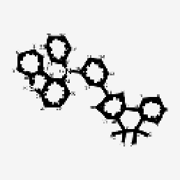 CC1(C)c2ccccc2-c2cc(-c3cccc(N(c4ccccc4)c4cccc5sc6ccccc6c45)c3)ccc2C1(C)C